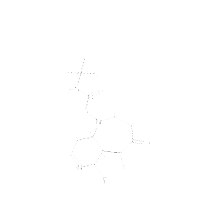 CC1C(=O)CCN(OC(=O)NC(C)(C)C)C2CC=NC(F)C12